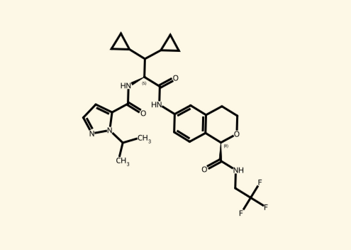 CC(C)n1nccc1C(=O)N[C@H](C(=O)Nc1ccc2c(c1)CCO[C@H]2C(=O)NCC(F)(F)F)C(C1CC1)C1CC1